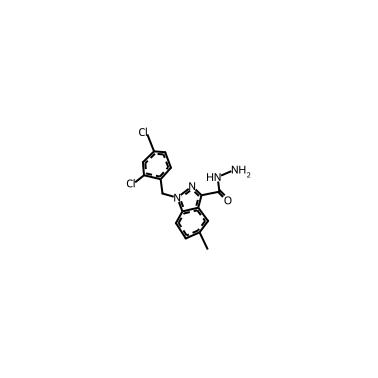 Cc1ccc2c(c1)c(C(=O)NN)nn2Cc1ccc(Cl)cc1Cl